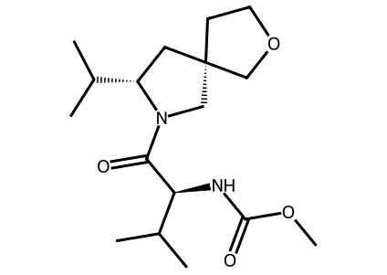 COC(=O)N[C@H](C(=O)N1C[C@@]2(CCOC2)C[C@H]1C(C)C)C(C)C